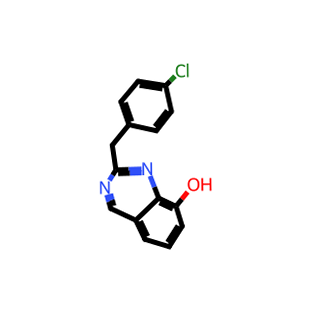 Oc1cccc2cnc(Cc3ccc(Cl)cc3)nc12